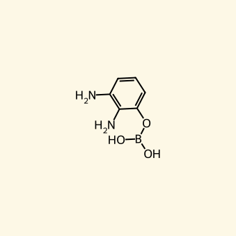 Nc1cccc(OB(O)O)c1N